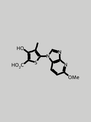 COc1ccc2c(ncn2-c2sc(C(=O)O)c(O)c2C)n1